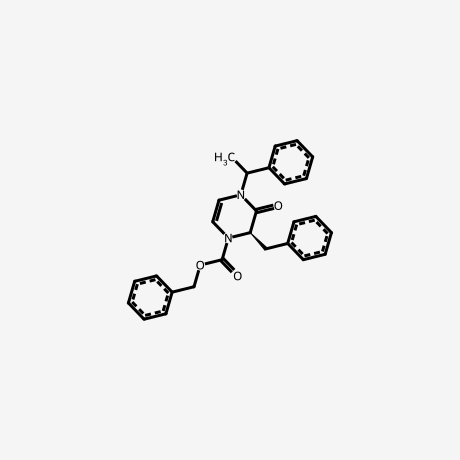 CC(c1ccccc1)N1C=CN(C(=O)OCc2ccccc2)[C@H](Cc2ccccc2)C1=O